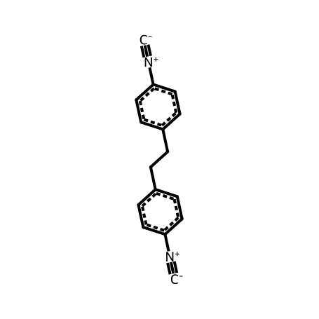 [C-]#[N+]c1ccc(CCc2ccc([N+]#[C-])cc2)cc1